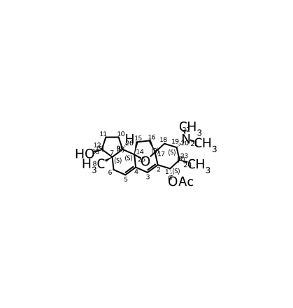 CC(=O)O[C@@H]1C2=CC3=CC[C@@]4(C)[C@@H](CC[C@@H]4O)[C@@]34CC[C@]2(C[C@H](N(C)C)[C@H]1C)O4